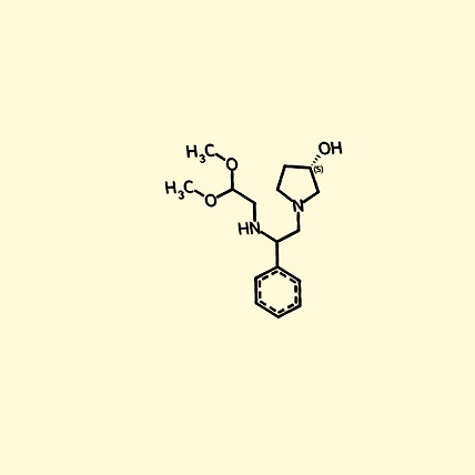 COC(CNC(CN1CC[C@H](O)C1)c1ccccc1)OC